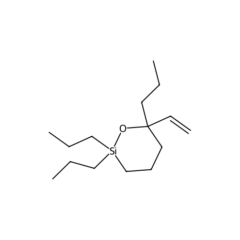 C=CC1(CCC)CCC[Si](CCC)(CCC)O1